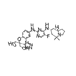 CC1(C)C[C@H](Nc2nc(Nc3ccc4c(c3)-n3nnnc3C(CO)(CO)O4)ncc2F)C[C@@H]2CCCN21